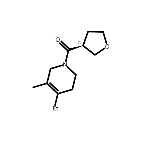 CCC1=C(C)CN(C(=O)[C@H]2CCOC2)CC1